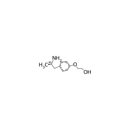 C[C@@H](N)Cc1ccc(OCCO)cc1